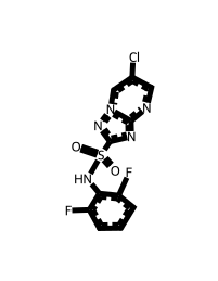 O=S(=O)(Nc1c(F)cccc1F)c1nc2ncc(Cl)cn2n1